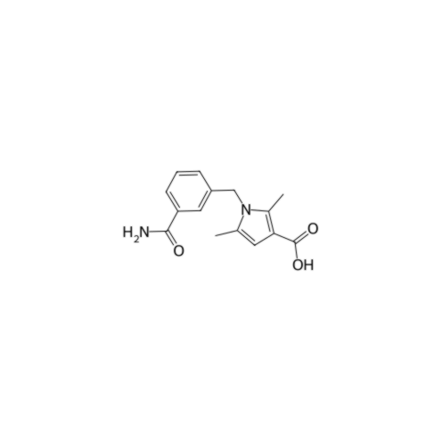 Cc1cc(C(=O)O)c(C)n1Cc1cccc(C(N)=O)c1